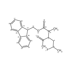 CC(=O)C(CC(C)F)N(C)C(=O)OCC1c2ccccc2-c2ccccc21